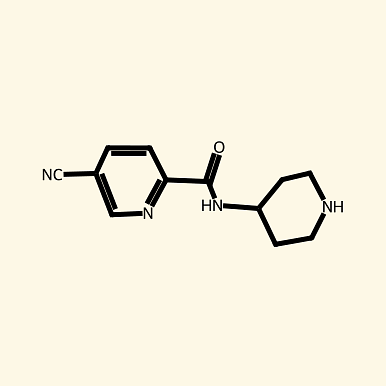 N#Cc1ccc(C(=O)NC2CCNCC2)nc1